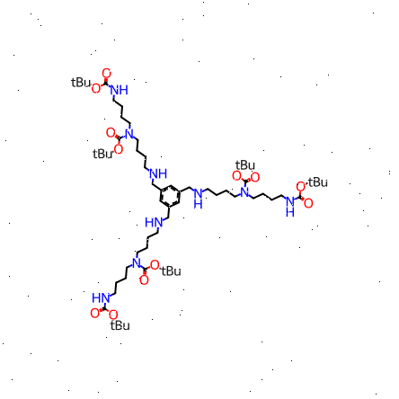 CC(C)(C)OC(=O)NCCCCN(CCCCNCc1cc(CNCCCCN(CCCCNC(=O)OC(C)(C)C)C(=O)OC(C)(C)C)cc(CNCCCCN(CCCCNC(=O)OC(C)(C)C)C(=O)OC(C)(C)C)c1)C(=O)OC(C)(C)C